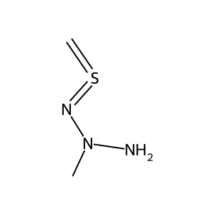 C=S=NN(C)N